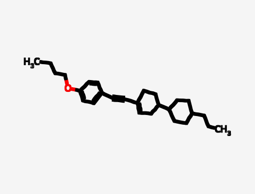 CCCCOc1ccc(C#CC2=CCC(C3CCC(CCC)CC3)CC2)cc1